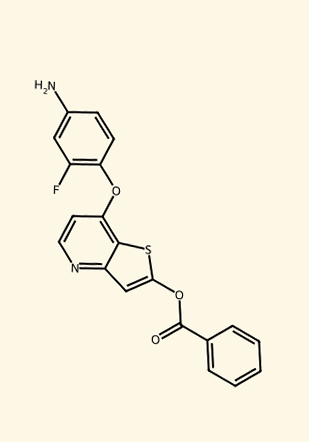 Nc1ccc(Oc2ccnc3cc(OC(=O)c4ccccc4)sc23)c(F)c1